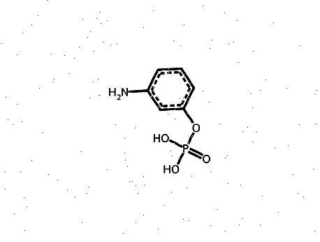 Nc1cccc(OP(=O)(O)O)c1